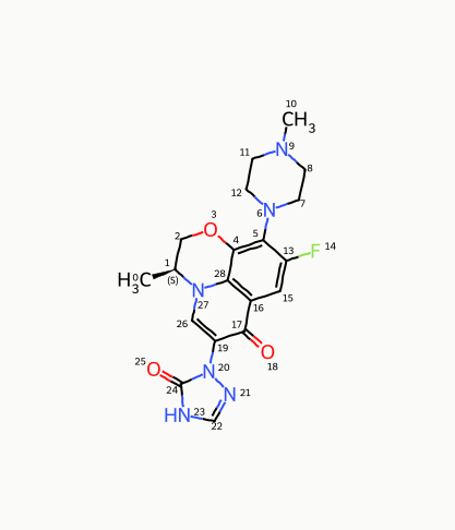 C[C@H]1COc2c(N3CCN(C)CC3)c(F)cc3c(=O)c(-n4nc[nH]c4=O)cn1c23